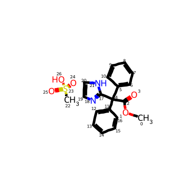 COC(=O)C(c1ccccc1)(c1ccccc1)c1ncc[nH]1.CS(=O)(=O)O